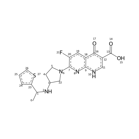 CC(NC1CCN(c2nc3[nH]cc(C(=O)O)c(=O)c3cc2F)C1)c1cccs1